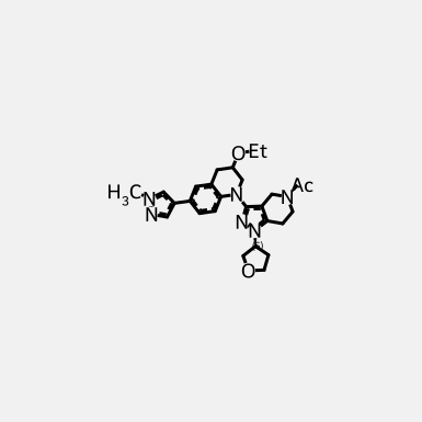 CCOC1Cc2cc(-c3cnn(C)c3)ccc2N(c2nn([C@H]3CCOC3)c3c2CN(C(C)=O)CC3)C1